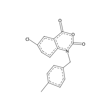 Cc1ccc(Cn2c(=O)oc(=O)c3cc(Cl)ccc32)cc1